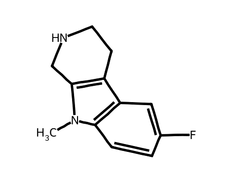 Cn1c2c(c3cc(F)ccc31)CCNC2